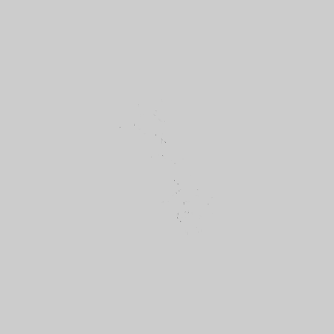 O=C(Nc1cc(F)c(F)c(F)c1)[C@H]1CCN(C(=O)c2cccc3cc[nH]c23)C1